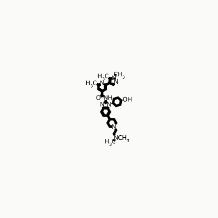 Cc1cc(C(=O)Nc2nc3ccc(C4CCN(CCN(C)C)CC4)cc3n2[C@H]2CC[C@@H](O)CC2)cc(-c2cnn(C)c2C)n1